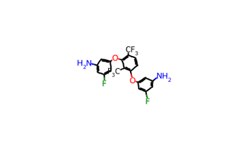 Nc1cc(F)cc(Oc2ccc(C(F)(F)F)c(Oc3cc(N)cc(F)c3)c2C(F)(F)F)c1